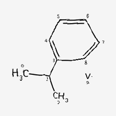 CC(C)c1ccccc1.[V]